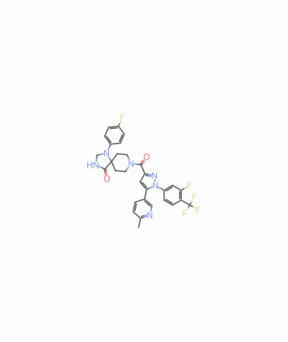 Cc1ccc(-c2cc(C(=O)N3CCC4(CC3)C(=O)NCN4c3ccc(F)cc3)nn2-c2ccc(C(F)(F)F)c(F)c2)cn1